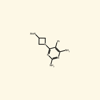 CNC1CN(c2nc(N)nc(N)c2C(C)C)C1